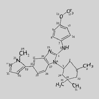 CC1CC(n2c(Nc3ccc(OC(F)(F)F)cc3)nc3cc(-c4ccnn4C)ccc32)CC(C)(C)C1